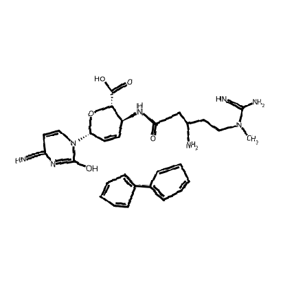 CN(CCC(N)CC(=O)N[C@H]1C=C[C@H](n2ccc(=N)nc2O)O[C@@H]1C(=O)O)C(=N)N.c1ccc(-c2ccccc2)cc1